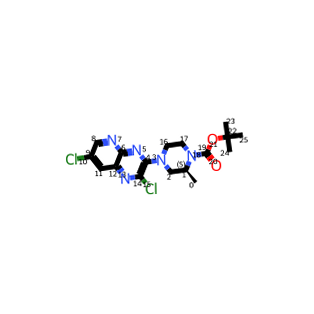 C[C@H]1CN(c2nc3ncc(Cl)cc3nc2Cl)CCN1C(=O)OC(C)(C)C